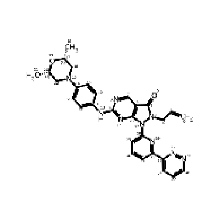 C=CCn1c(=O)c2cnc(Nc3ccc(N4C[C@@H](C)O[C@@H](C)C4)cc3)nc2n1-c1cccc(-c2cccnn2)n1